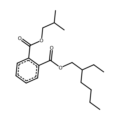 CCCCC(CC)COC(=O)c1ccccc1C(=O)OCC(C)C